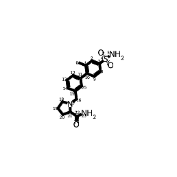 Cc1cc(S(N)(=O)=O)ccc1-c1cccc(CN2CCCC2C(N)=O)c1